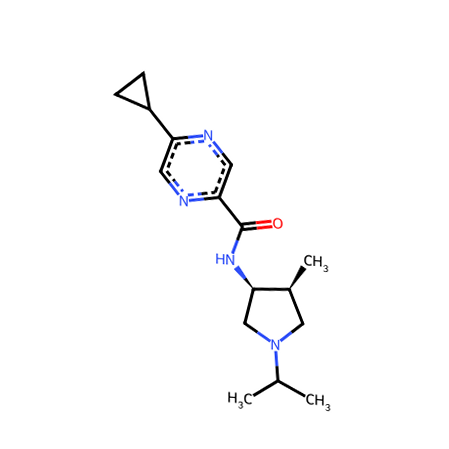 CC(C)N1C[C@H](C)[C@H](NC(=O)c2cnc(C3CC3)cn2)C1